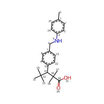 Cc1ccc(NCc2ccc(C(C(C)(C)C)C(C)(C)C(=O)O)cc2)cc1